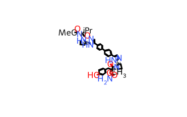 COC(=O)N[C@H](C(=O)N1CCC[C@H]1c1ncc(-c2ccc(-c3ccc(-c4cnc([C@@H]5CCCN5C(=O)[C@](C)(Cc5ccc(O)cc5)OC(N)=O)[nH]4)cc3)cc2)[nH]1)C(C)C